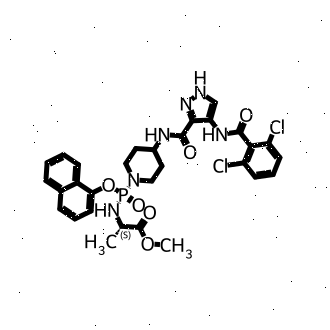 COC(=O)[C@H](C)NP(=O)(Oc1cccc2ccccc12)N1CCC(NC(=O)c2n[nH]cc2NC(=O)c2c(Cl)cccc2Cl)CC1